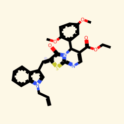 C=CCn1cc(/C=c2\sc3n(c2=O)C(c2cc(OC)ccc2OC)C(C(=O)OCC)=CN=3)c2ccccc21